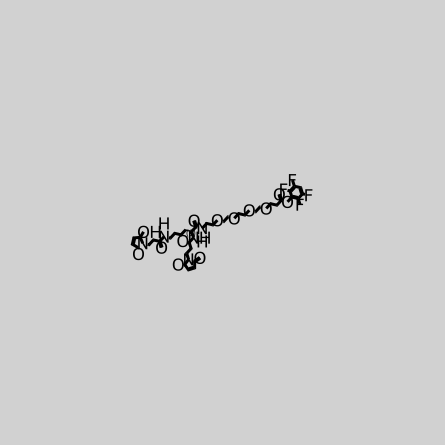 O=C(CCN1C(=O)C=CC1O)NCCCC[C@H](NC(=O)CCN1C(=O)C=CC1=O)C(=O)NCCOCCOCCOCCOCCC(=O)Oc1c(F)c(F)cc(F)c1F